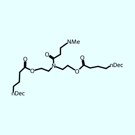 CCCCCCCCCCCCCC(=O)OCCN(CCOC(=O)CCCCCCCCCCCCC)C(=O)CCNC